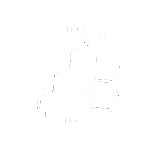 C=CC(=O)CCC[N+](C)(C)C.Cc1ccc(S(=O)(=O)O)cc1